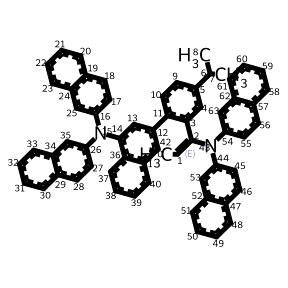 C/C=C(\c1cc(C(C)C)ccc1-c1cc(N(c2ccc3ccccc3c2)c2ccc3ccccc3c2)c2ccccc2c1)N(c1ccc2ccccc2c1)c1ccc2ccccc2c1